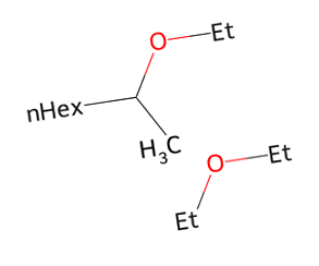 CCCCCCC(C)OCC.CCOCC